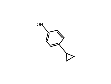 O=Nc1ccc(C2CC2)cc1